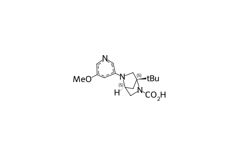 COc1cncc(N2C[C@@]3(C(C)(C)C)C[C@H]2CN3C(=O)O)c1